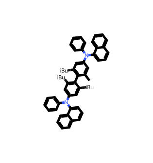 CCC(C)c1cc(N(c2ccccc2)c2cccc3ccccc23)cc(C)c1-c1c(C(C)CC)cc(N(c2ccccc2)c2cccc3ccccc23)cc1C(C)CC